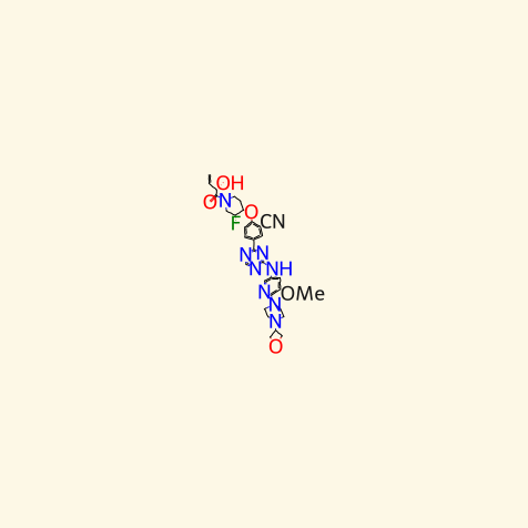 C=C[C@H](O)C(=O)N1CC[C@H](Oc2ccc(-c3ncnc(Nc4cnc(N5CCN(C6COC6)CC5)c(OC)c4)n3)cc2C#N)[C@H](F)C1